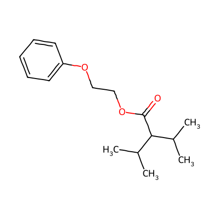 CC(C)C(C(=O)OCCOc1ccccc1)C(C)C